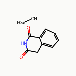 N#C[SeH].O=C1Cc2ccccc2C(=O)N1